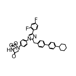 O=C1CN(c2ccc(-n3cc(-c4ccc(F)cc4F)nc3Cc3ccc(-c4ccc(C5CCCCC5)cc4)cc3)cc2)S(=O)(=O)N1